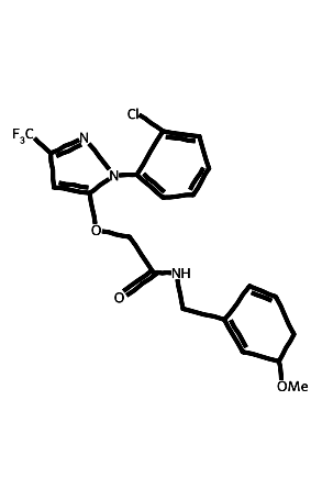 COC1C=C(CNC(=O)COc2cc(C(F)(F)F)nn2-c2ccccc2Cl)C=CC1